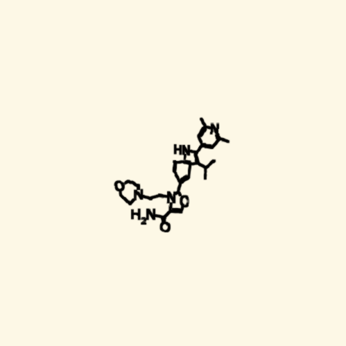 Cc1cc(-c2[nH]c3ccc(C4OC=C(C(N)=O)N4CCN4CCOCC4)cc3c2C(C)C)cc(C)n1